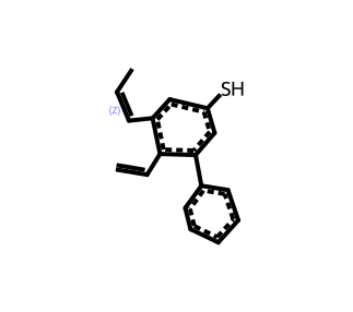 C=Cc1c(/C=C\C)cc(S)cc1-c1ccccc1